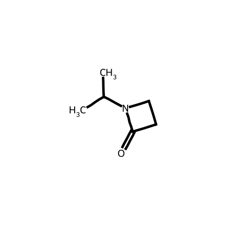 CC(C)N1CCC1=O